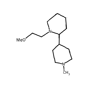 COCCN1CC[CH]CC1C1CCN(C)CC1